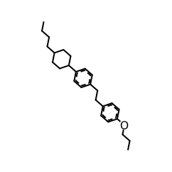 CCCCC1CCC(c2ccc(CCc3ccc(OCCC)cc3)cc2)CC1